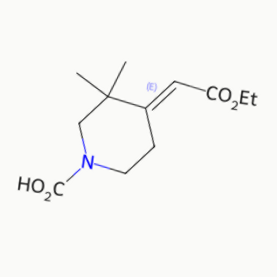 CCOC(=O)/C=C1\CCN(C(=O)O)CC1(C)C